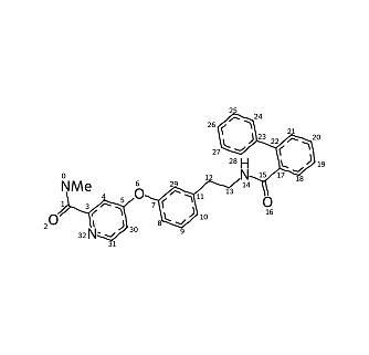 CNC(=O)c1cc(Oc2cccc(CCNC(=O)c3ccccc3-c3ccccc3)c2)ccn1